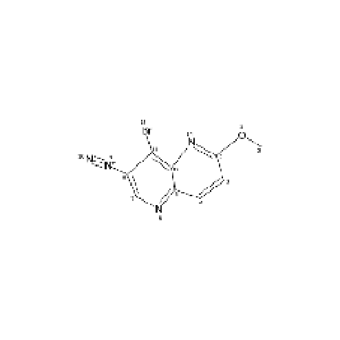 COc1ccc2ncc([N+]#N)c(Br)c2n1